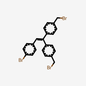 BrCc1ccc(C(=Cc2ccc(Br)cc2)c2ccc(CBr)cc2)cc1